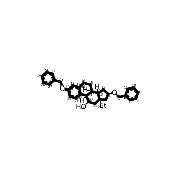 CC[C@@]12C[C@H](OCc3ccccc3)C[C@H]1[C@@H]1CCc3cc(OCc4ccccc4)ccc3[C@H]1[C@H](O)C2